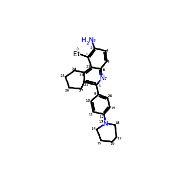 CCc1c(N)ccc2nc(-c3ccc(N4CCCCC4)cc3)c3c(c12)CCCC3